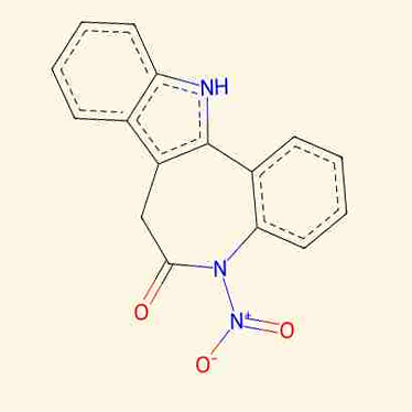 O=C1Cc2c([nH]c3ccccc23)-c2ccccc2N1[N+](=O)[O-]